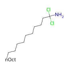 CCCCCCCCCCCCCCCCCC(N)(Cl)Cl